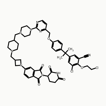 CC(C)(c1ccc(OCc2ccnc(N3CCN(CC4CCN(CC5CN(c6ccc7c(c6)C(=O)N(C6CCC(=O)NC6=O)C7=O)C5)CC4)CC3)n2)cc1)c1cc(Cl)c(OCCCl)c(C#N)c1